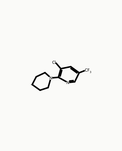 FC(F)(F)c1cnc(N2CC[CH]CC2)c(Cl)c1